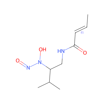 C/C=C/C(=O)NCC(C(C)C)N(O)N=O